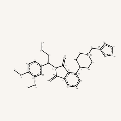 [CH2]CCC(c1ccc(OC)c(OC)c1)N1C(=O)c2cccc(N3CCN(Cc4ccsc4)CC3)c2C1=O